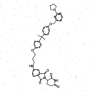 CC(C)(c1ccc(OCCCNc2ccc3c(c2)C(=O)N(C2CCC(=O)NC2=O)C3=O)cc1)c1ccc(OCc2ccnc(N3CCCC3)n2)cc1